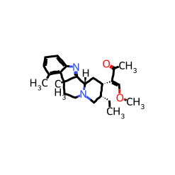 CC[C@@H]1CN2CC[C@@]3(C)C(=Nc4cccc(C)c43)[C@@H]2C[C@@H]1/C(=C\OC)C(C)=O